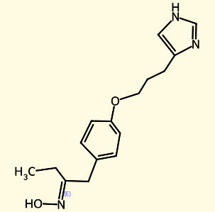 CC/C(Cc1ccc(OCCCc2c[nH]cn2)cc1)=N\O